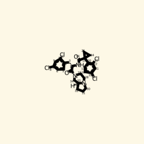 O=C([C@H](Cc1ccc(Cl)cc1Cl)NC(=O)C1(c2ccc(Cl)cc2Cl)CC1)N1CCN2CCC[C@H]2C1